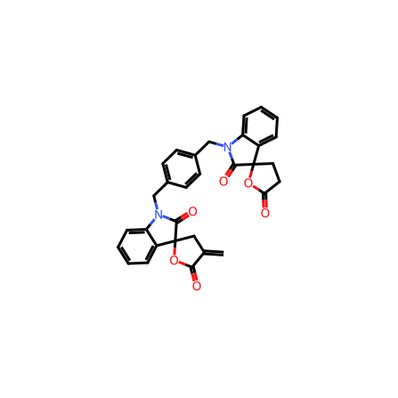 C=C1CC2(OC1=O)C(=O)N(Cc1ccc(CN3C(=O)C4(CCC(=O)O4)c4ccccc43)cc1)c1ccccc12